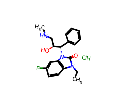 CCn1c(=O)n([C@@H](c2ccccc2)[C@@H](O)CNC)c2cc(F)ccc21.Cl